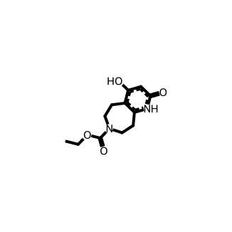 CCOC(=O)N1CCc2[nH]c(=O)cc(O)c2CC1